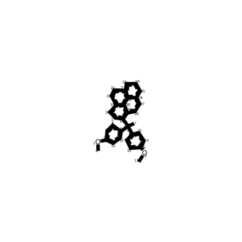 COc1ccc(C(C)(c2ccc(OC)cc2)c2ccc3ccc4cccc5ccc2c3c45)cc1